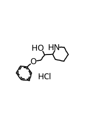 Cl.OC(COc1ccccc1)C1CCCCN1